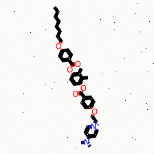 CCCCCCCCOc1ccc(C(=O)Oc2ccc(OC(=O)c3ccc(OCC[n+]4ccc(N(C)C)cc4)cc3)c(C)c2C)cc1